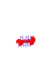 NC(CCCCNC(=O)CCC(=O)NCCOCCOCC(=O)NC(CCC(=O)NC(CCC(=O)OCc1ccccc1)C(=O)OCc1ccccc1)C(=O)NC(CCC(=O)OCc1ccccc1)C(=O)OCc1ccccc1)C(=O)NCCOCCOCC(=O)NC(CCC(=O)NC(CCC(=O)OCc1ccccc1)C(=O)OCc1ccccc1)C(=O)NC(CCC(=O)OCc1ccccc1)C(=O)OCc1ccccc1